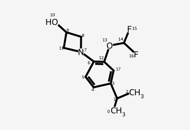 CC(C)c1ccc(N2CC(O)C2)c(OC(F)F)c1